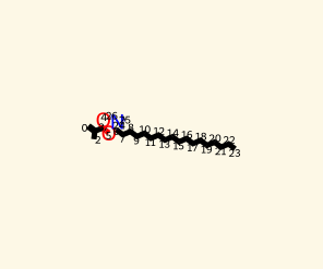 C=C(C)C(=O)OC(CCCCCCCCCCCCCCCCC)N(C)C